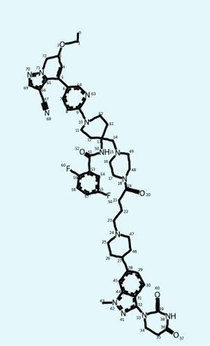 CCOC1C=C(c2ccc(N3CCC(CN4CCN(C(=O)CCCN5CCC(c6ccc7c(N8CCC(=O)NC8=O)nn(C)c7c6)CC5)CC4)(NC(=O)c4cc(F)ccc4F)CC3)nc2)c2c(C#N)cnn2C1